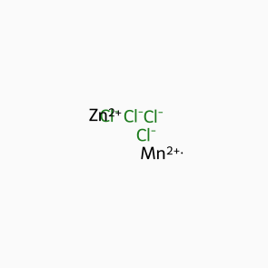 [Cl-].[Cl-].[Cl-].[Cl-].[Mn+2].[Zn+2]